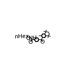 CCCCCCONC(=O)c1ccc(C(=O)c2cc3c(cc2C)C(C)(C)CCC3(C)C)cc1